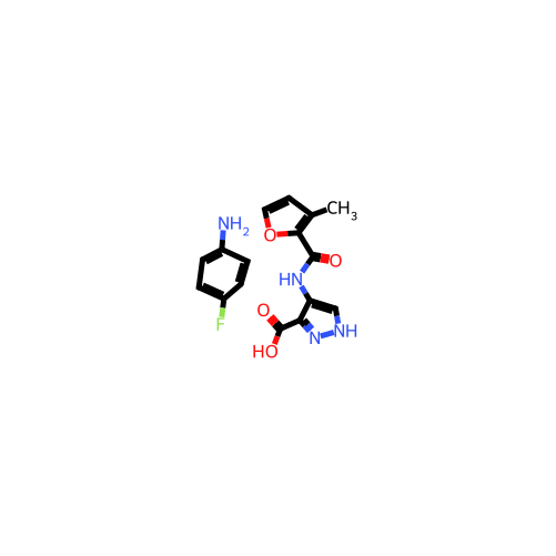 Cc1ccoc1C(=O)Nc1c[nH]nc1C(=O)O.Nc1ccc(F)cc1